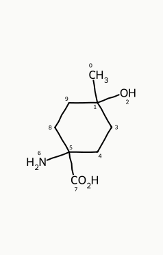 CC1(O)CCC(N)(C(=O)O)CC1